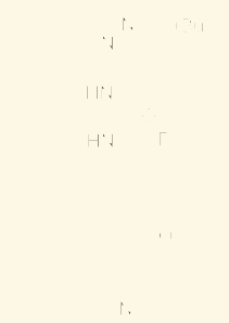 CC(C)(C)c1cc(NC(=O)Nc2ccc(Oc3ccncc3)cc2F)n(-c2ccccc2)n1